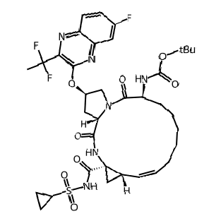 CC(C)(C)OC(=O)N[C@H]1CCCCC/C=C\[C@@H]2C[C@@]2(C(=O)NS(=O)(=O)C2CC2)NC(=O)[C@@H]2C[C@@H](Oc3nc4cc(F)ccc4nc3C(C)(F)F)CN2C1=O